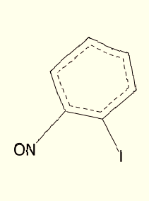 O=Nc1ccccc1I